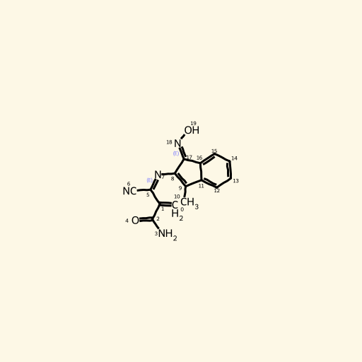 C=C(C(N)=O)/C(C#N)=N\C1=C(C)c2ccccc2/C1=N\O